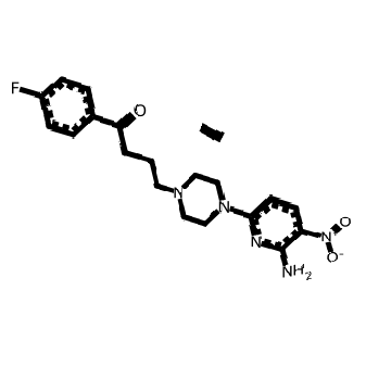 C=C.Nc1nc(N2CCN(CCCC(=O)c3ccc(F)cc3)CC2)ccc1[N+](=O)[O-]